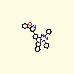 c1ccc(-c2nc(-c3ccccc3)nc(-c3cc(-c4cnc5oc6ccccc6c5c4)ccc3-c3ccc4ccccc4c3)n2)cc1